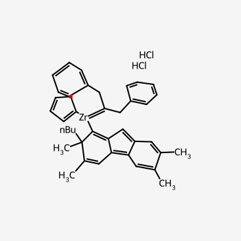 CCCCC1(C)C(C)=CC2=c3cc(C)c(C)cc3=CC2=[C]1[Zr]([C]1=CC=CC1)=[C](Cc1ccccc1)Cc1ccccc1.Cl.Cl